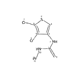 C=C(Nc1csc(Cl)c1Cl)NC(C)C